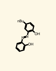 CCCCc1ccc(O)c(N=Nc2ccccc2O)c1